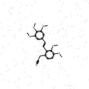 COc1cc(C=Cc2c(CC#N)ccc(OC)c2OC)cc(OC)c1OC